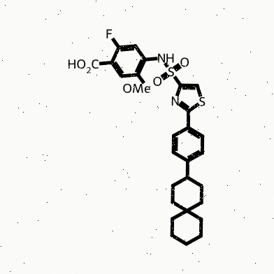 COc1cc(C(=O)O)c(F)cc1NS(=O)(=O)c1csc(-c2ccc(C3CCC4(CCCCC4)CC3)cc2)n1